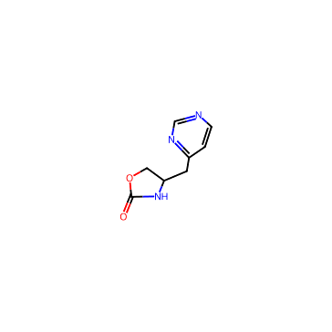 O=C1NC(Cc2ccncn2)CO1